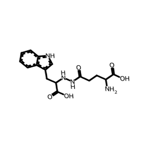 NC(CCC(=O)NNC(Cc1c[nH]c2ccccc12)C(=O)O)C(=O)O